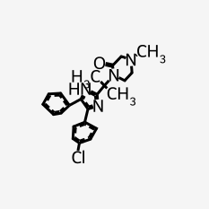 CN1CCN(C(C)(C)c2nc(-c3ccc(Cl)cc3)c(-c3ccccc3)[nH]2)C(=O)C1